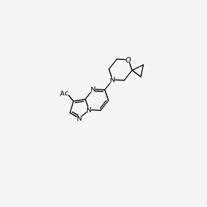 CC(=O)c1cnn2ccc(N3CCOC4(CC4)C3)nc12